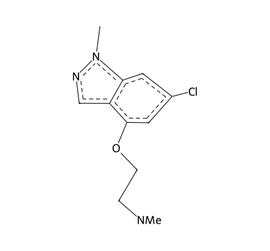 CNCCOc1cc(Cl)cc2c1cnn2C